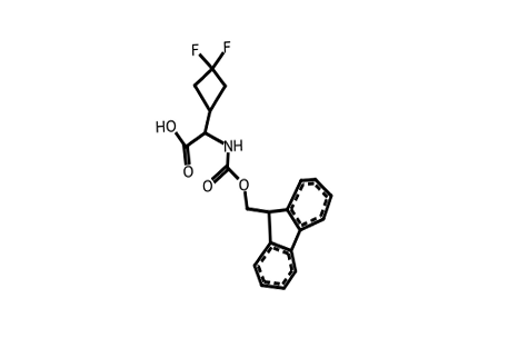 O=C(NC(C(=O)O)C1CC(F)(F)C1)OCC1c2ccccc2-c2ccccc21